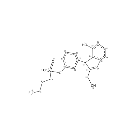 O=S(=O)(CCCC(F)(F)F)Oc1cccc(C2C(CO)=Cc3cccc(O)c32)c1